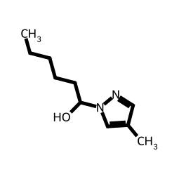 CCCCCC(O)n1cc(C)cn1